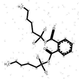 CCCCCC(Cl)(Cl)OC(=O)c1ccccc1C(=O)OC(Cl)(Cl)CCCCC